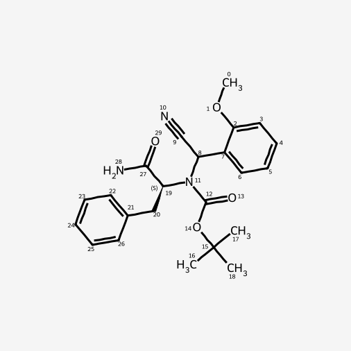 COc1ccccc1C(C#N)N(C(=O)OC(C)(C)C)[C@@H](Cc1ccccc1)C(N)=O